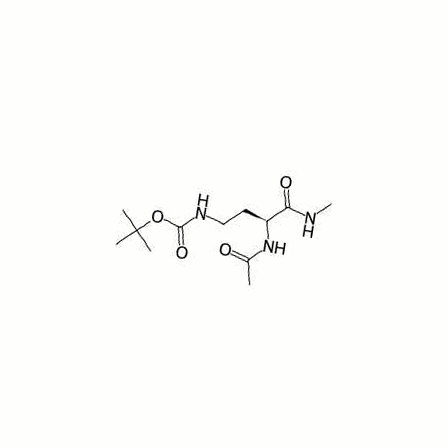 CNC(=O)[C@H](CCNC(=O)OC(C)(C)C)NC(C)=O